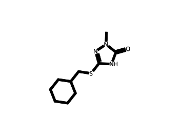 Cn1nc(SCC2CCCCC2)[nH]c1=O